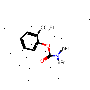 CCCN(CCC)C(=O)Oc1ccccc1C(=O)OCC